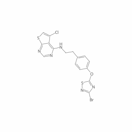 Clc1csc2ncnc(NCCc3ccc(Oc4nc(Br)ns4)cc3)c12